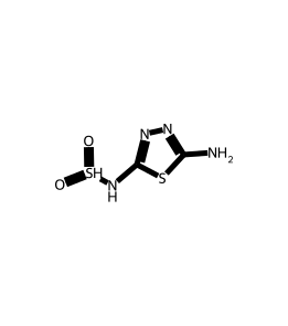 Nc1nnc(N[SH](=O)=O)s1